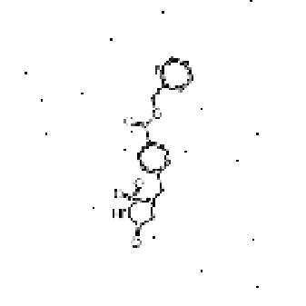 O=C1CN(Cc2ccc(C(=O)OCc3ccccn3)cc2)S(=O)(=O)N1